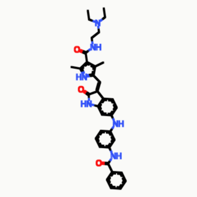 CCN(CC)CCNC(=O)c1c(C)[nH]c(/C=C2\C(=O)Nc3cc(Nc4cccc(NC(=O)c5ccccc5)c4)ccc32)c1C